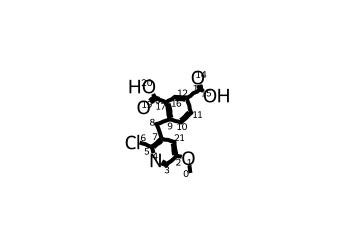 COc1cnc(Cl)c(Cc2ccc(C(=O)O)cc2C(=O)O)c1